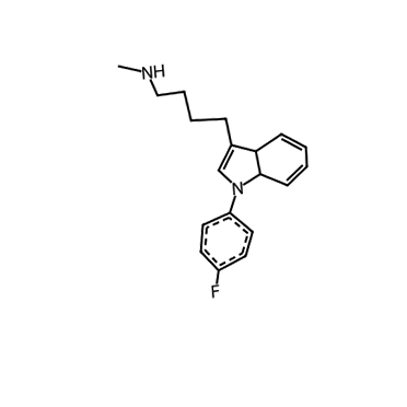 CNCCCCC1=CN(c2ccc(F)cc2)C2C=CC=CC12